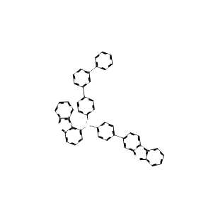 c1ccc(-c2cccc(-c3ccc(N(c4ccc(-c5ccc6c(c5)sc5ccccc56)cc4)c4cccc5oc6ccccc6c45)cc3)c2)cc1